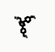 CCCC(CC(CC)C1CCC(N)CC1)C1CCC(N)CC1